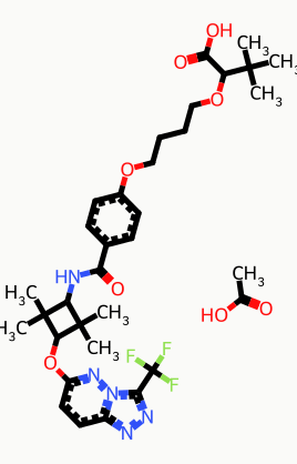 CC(=O)O.CC(C)(C)C(OCCCCOc1ccc(C(=O)NC2C(C)(C)C(Oc3ccc4nnc(C(F)(F)F)n4n3)C2(C)C)cc1)C(=O)O